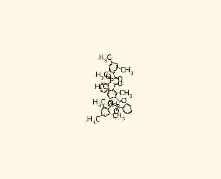 Cc1cc(C)c(C(=O)P(=O)(C(=O)c2c(C)cc(C)c(C(=O)P(=O)(C(=O)c3c(C)cc(C)cc3C)c3ccccc3)c2C)c2ccccc2)c(C)c1